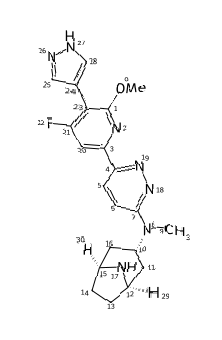 COc1nc(-c2ccc(N(C)[C@@H]3C[C@H]4CC[C@@H](C3)N4)nn2)cc(F)c1-c1cn[nH]c1